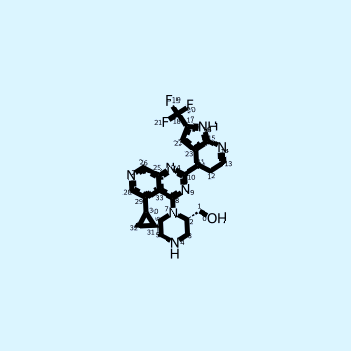 OC[C@@H]1CNCCN1c1nc(C2CC=Nc3[nH]c(C(F)(F)F)cc32)nc2cncc(C3CC3)c12